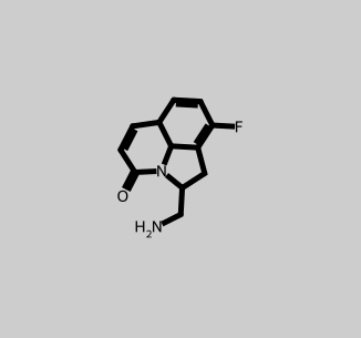 NCC1CC2=C(F)C=CC3C=CC(=O)N1C23